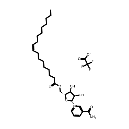 CCCCCCCC/C=C\CCCCCCCC(=O)OC[C@H]1O[C@@H]([n+]2cccc(C(N)=O)c2)[C@H](O)[C@@H]1O.O=C([O-])C(F)(F)F